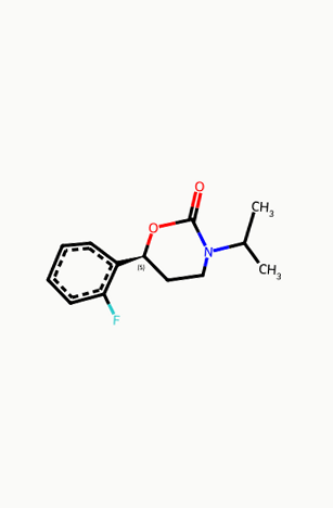 CC(C)N1CC[C@@H](c2ccccc2F)OC1=O